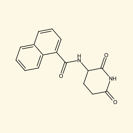 O=C1CCC(NC(=O)c2cccc3ccccc23)C(=O)N1